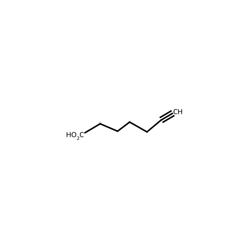 C#CCCC[CH]C(=O)O